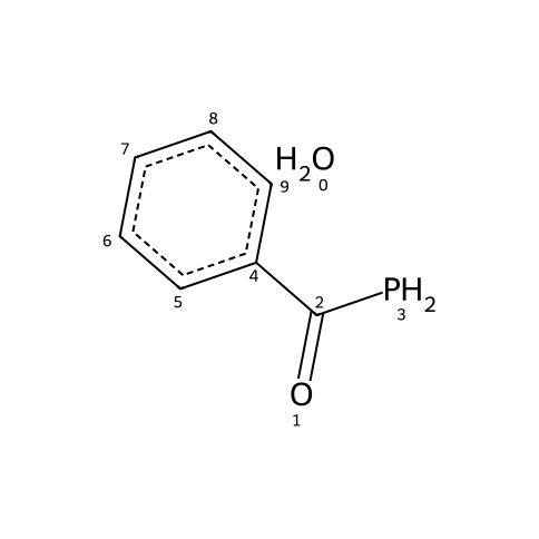 O.O=C(P)c1ccccc1